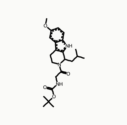 COc1ccc2[nH]c3c(c2c1)CCN(C(=O)CNC(=O)OC(C)(C)C)C3CC(C)C